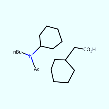 CCCCN(C(C)=O)C1CCCCC1.O=C(O)CC1CCCCC1